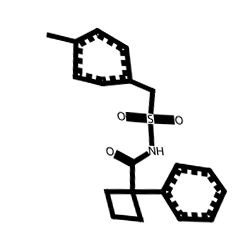 Cc1ccc(CS(=O)(=O)NC(=O)C2(c3ccccc3)CCC2)cc1